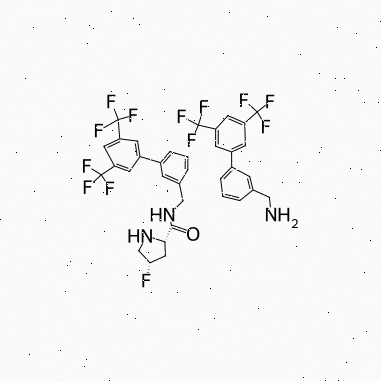 NCc1cccc(-c2cc(C(F)(F)F)cc(C(F)(F)F)c2)c1.O=C(NCc1cccc(-c2cc(C(F)(F)F)cc(C(F)(F)F)c2)c1)[C@@H]1C[C@H](F)CN1